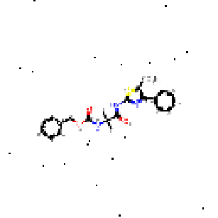 CCOC(=O)c1sc(NC(=O)C(C)(C)NC(=O)OCc2ccccc2)nc1-c1ccccc1